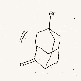 C=C.O=C1C2CC3CC1CC(Br)(C3)C2